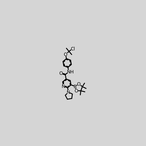 CC(C)(Cl)Oc1ccc(NC(=O)c2cnc(N3CCCC3)c(B3OC(C)(C)C(C)(C)O3)c2)cc1